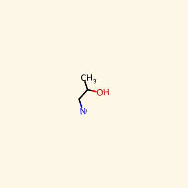 CC(O)C[N]